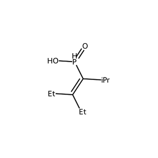 CCC(CC)=C(C(C)C)[PH](=O)O